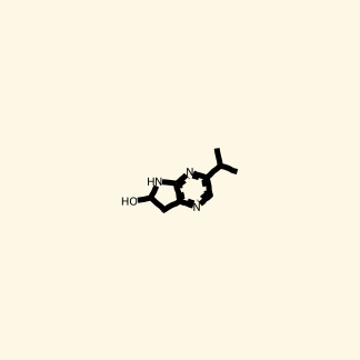 CC(C)c1cnc2c(n1)NC(O)C2